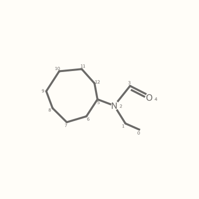 CCN(C=O)C1CCCCCCC1